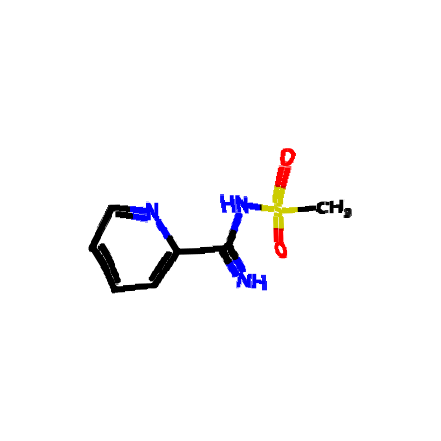 CS(=O)(=O)NC(=N)c1ccccn1